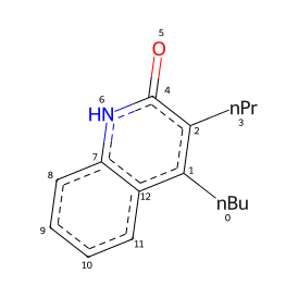 CCCCc1c(CCC)c(=O)[nH]c2ccccc12